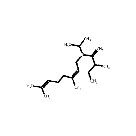 C=C(C(C)CC)N(C/C=C(/C)CCC=C(C)C)C(C)C